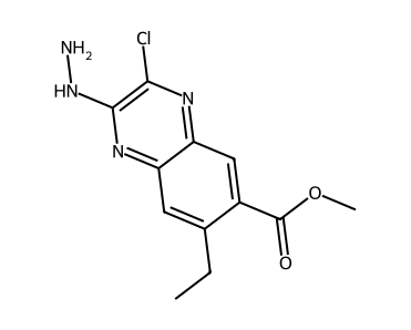 CCc1cc2nc(NN)c(Cl)nc2cc1C(=O)OC